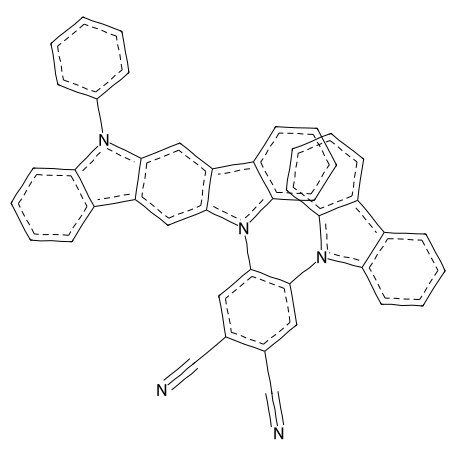 N#Cc1cc(-n2c3ccccc3c3ccccc32)c(-n2c3ccccc3c3cc4c(cc32)c2ccccc2n4-c2ccccc2)cc1C#N